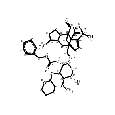 CO[C@H]1[C@@H](OC2CCCCO2)[C@H](OC(=O)OCc2ccccc2)[C@H](OCC23CC4C(C)CCC4C4(C=O)CC2C=C(C(C)C)C43C(=O)O)O[C@@H]1C